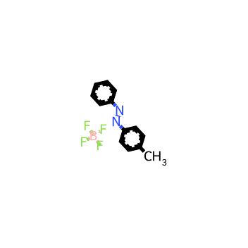 Cc1ccc(/N=N/c2ccccc2)cc1.F[B-](F)(F)F